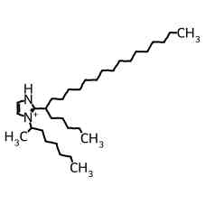 CCCCCCCCCCCCCCCCC(CCCCC)c1[nH]cc[n+]1C(C)CCCCCC